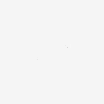 c1cc2sccc2[nH]1